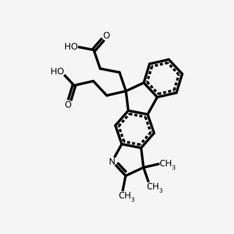 CC1=Nc2cc3c(cc2C1(C)C)-c1ccccc1C3(CCC(=O)O)CCC(=O)O